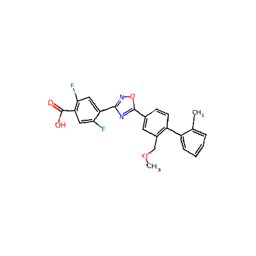 COCc1cc(-c2nc(-c3cc(F)c(C(=O)O)cc3F)no2)ccc1-c1ccccc1C